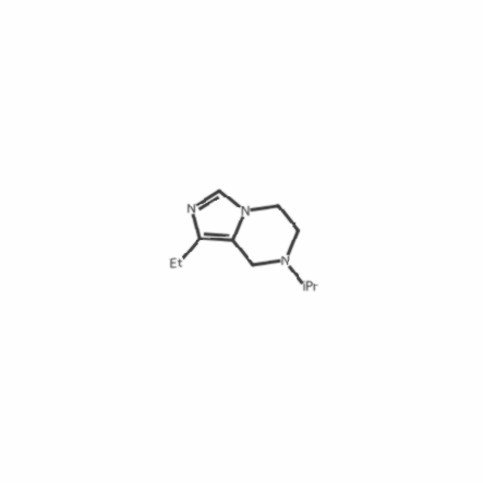 CCc1ncn2c1CN(C(C)C)CC2